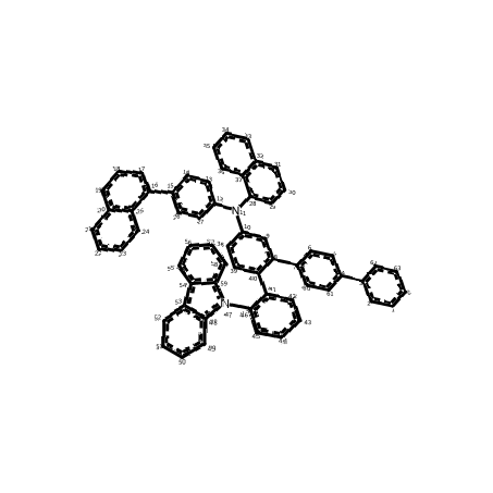 c1ccc(-c2ccc(-c3cc(N(c4ccc(-c5cccc6ccccc56)cc4)c4cccc5ccccc45)ccc3-c3ccccc3-n3c4ccccc4c4ccccc43)cc2)cc1